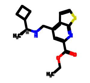 CCOC(=O)c1cc(CN[C@@H](C)C2CCC2)c2ccsc2n1